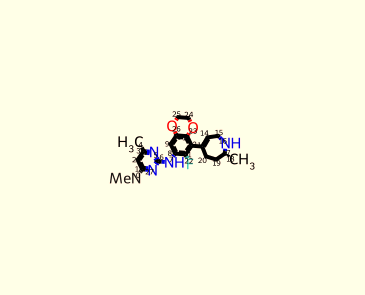 CNc1cc(C)nc(Nc2cc3c(c(C4=CCN[C@@H](C)CC4)c2F)OCCO3)n1